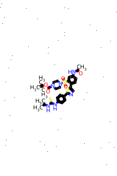 CC(=O)Nc1ccc(-c2cnc(-c3ccc(NC(=S)NC(C)C)cc3)s2)c(S(=O)(=O)N2CCN(C(=O)OC(C)(C)C)CC2)c1